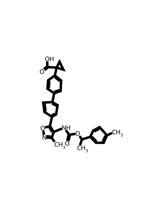 Cc1ccc(C(C)OC(=O)Nc2c(C)noc2-c2ccc(-c3ccc(C4(C(=O)O)CC4)cc3)cc2)cc1